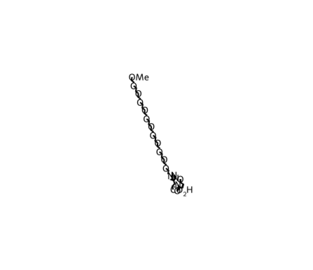 COCCOCCOCCOCCOCCOCCOCCOCCOCCOCCOCCOCCn1cc(C(CC(=O)O)N2C(=O)C=CC2=O)nn1